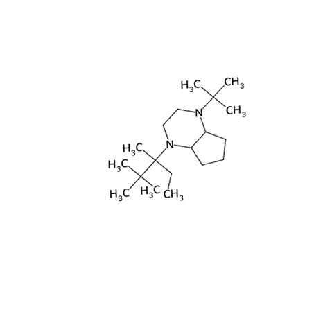 CCC(C)(N1CCN(C(C)(C)C)C2CCCC21)C(C)(C)C